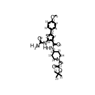 COc1ccc(-c2cc(C(=O)NC3CCN(OC(=O)OC(C)(C)C)CC3)c(NC(N)=O)s2)cc1